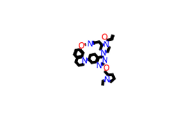 C=CC(=O)N1CCN(c2nc(OCC3CCCN3CC)nc3c2CCC(N2CCCc4ccc(OC)cc42)C3)CC1CC#N